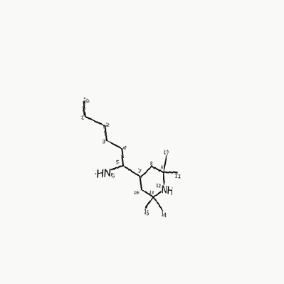 [CH2]CCCCC([NH])C1CC(C)(C)NC(C)(C)C1